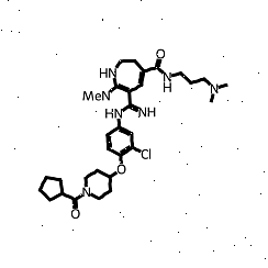 CNC1=C(C(=N)Nc2ccc(OC3CCN(C(=O)C4CCCC4)CC3)c(Cl)c2)C=C(C(=O)NCCCN(C)C)CCN1